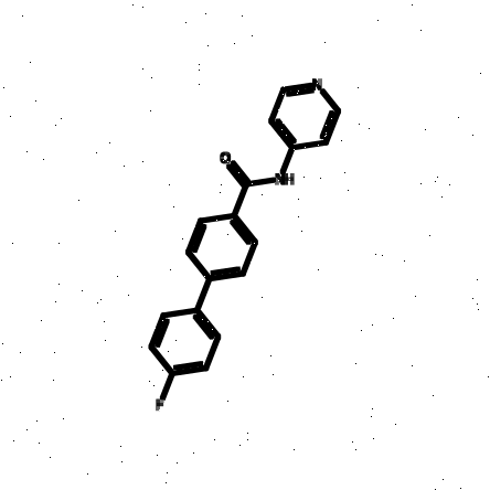 O=C(Nc1ccncc1)c1ccc(-c2ccc(F)cc2)cc1